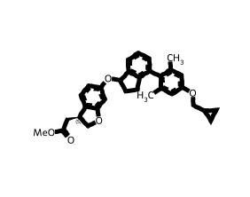 COC(=O)C[C@@H]1COc2cc(OC3CCc4c(-c5c(C)cc(OCC6CC6)cc5C)cccc43)ccc21